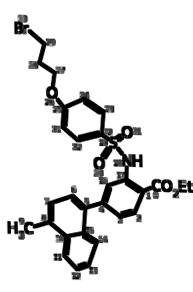 CCOC(=O)c1ccc(-c2ccc(C)c3ccccc23)cc1NS(=O)(=O)c1ccc(OCCCBr)cc1